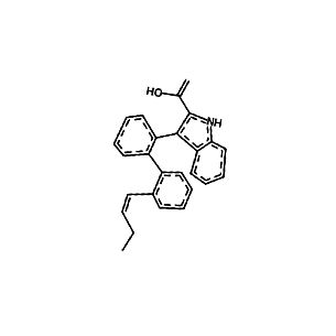 C=C(O)c1[nH]c2ccccc2c1-c1ccccc1-c1ccccc1/C=C\CC